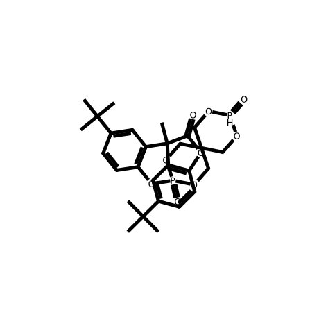 CC(C)(C)c1ccc2c(c1)C(C)(c1cc(C(C)(C)C)ccc1OP1(=O)OCC3(CO[PH](=O)OC3)CO1)C(=O)O2